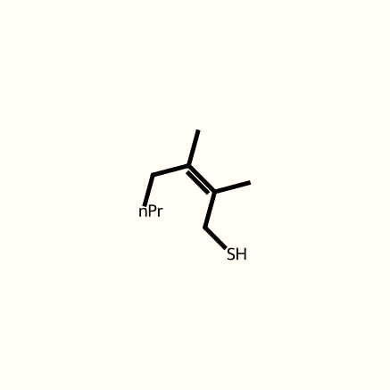 CCCCC(C)=C(C)CS